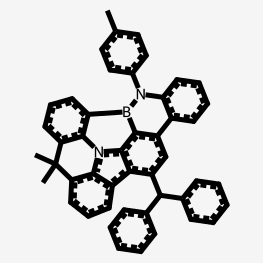 Cc1ccc(N2B3c4cccc5c4-n4c6c(cccc6c6c(C(c7ccccc7)c7ccccc7)cc(c3c64)-c3ccccc32)C5(C)C)cc1